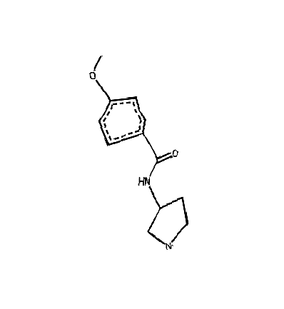 COc1ccc(C(=O)NC2CC[N]C2)cc1